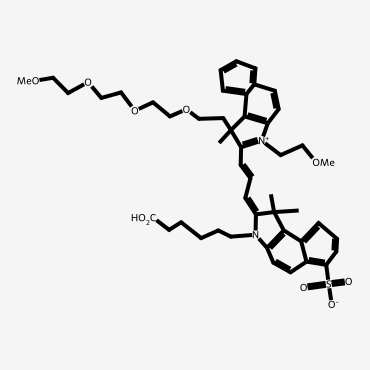 COCCOCCOCCOCCC1(C)C(/C=C/C=C2/N(CCCCCC(=O)O)c3ccc4c(S(=O)(=O)[O-])cccc4c3C2(C)C)=[N+](CCOC)c2ccc3ccccc3c21